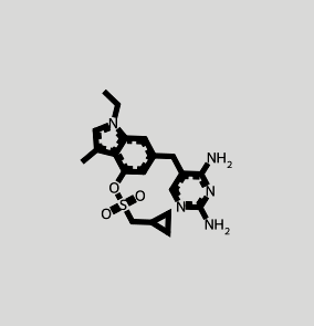 CCn1cc(C)c2c(OS(=O)(=O)CC3CC3)cc(Cc3cnc(N)nc3N)cc21